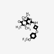 Cc1nc(N[C@H]2C[C@H](Oc3ccc(OC(F)(F)F)cc3)C2)nc2c1N(C)C(=O)[C@H](C)N2C